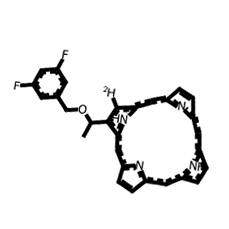 [2H]c1c(C(C)OCc2cc(F)cc(F)c2)c2cc3nc(cc4ccc(cc5nc(cc1[nH]2)C=C5)[nH]4)C=C3